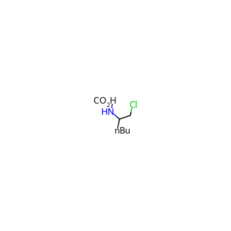 CCCCC(CCl)NC(=O)O